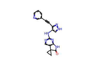 O=C1Nc2nc(Nc3c[nH]nc3C#Cc3cccnc3)ncc2C12CC2